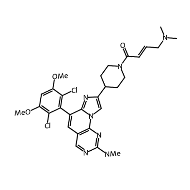 CNc1ncc2cc(-c3c(Cl)c(OC)cc(OC)c3Cl)c3nc(C4CCN(C(=O)/C=C/CN(C)C)CC4)cn3c2n1